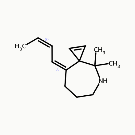 C/C=C\C=C1\CCCNC(C)(C)C12C=C2